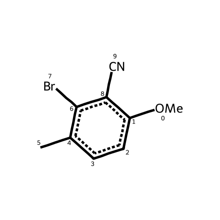 COc1ccc(C)c(Br)c1C#N